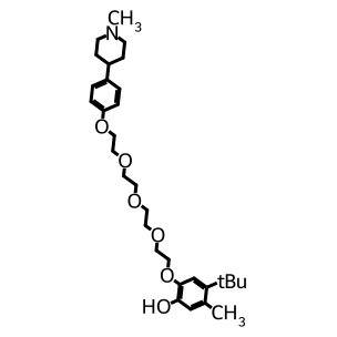 Cc1cc(O)c(OCCOCCOCCOCCOc2ccc(C3CCN(C)CC3)cc2)cc1C(C)(C)C